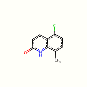 O=c1ccc2c(Cl)ccc(C(F)(F)F)c2[nH]1